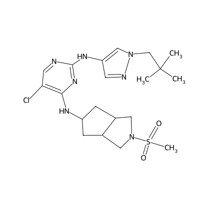 CC(C)(C)Cn1cc(Nc2ncc(Cl)c(NC3CC4CN(S(C)(=O)=O)CC4C3)n2)cn1